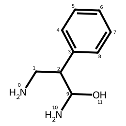 NCC(c1ccccc1)C(N)O